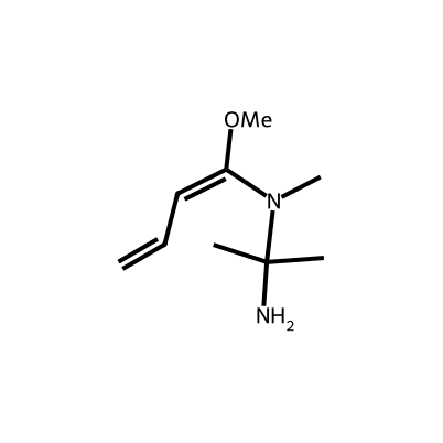 C=C/C=C(/OC)N(C)C(C)(C)N